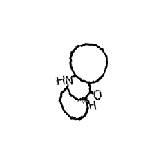 O=C1C2CCCCCCCCCCCC(C2)NC2CCCCCCC[C@@H]1CC2